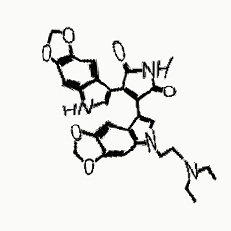 CCN(CC)CCn1cc(C2=C(c3c[nH]c4cc5c(cc34)OCO5)C(=O)NC2=O)c2cc3c(cc21)OCO3